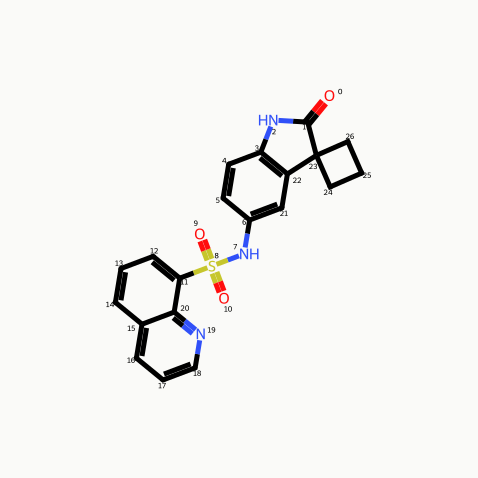 O=C1Nc2ccc(NS(=O)(=O)c3cccc4cccnc34)cc2C12CCC2